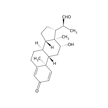 C[C@H](C=O)[C@H]1CC[C@H]2[C@@H]3CCC4=CC(=O)C=C[C@]4(C)[C@H]3C[C@@H](O)[C@]12C